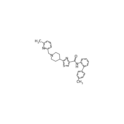 Cc1ccc(-c2ccccc2NC(=O)c2csc(C3CCN(Cc4cccc(C)n4)CC3)n2)cc1